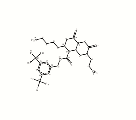 CCCN1CC2N(CC1=O)C(=O)CC(CCCCN)N2C(=O)OCc1cc(C(F)(F)F)cc(C(F)(F)F)c1